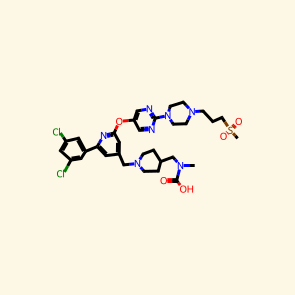 CN(CC1CCN(Cc2cc(Oc3cnc(N4CCN(CCCS(C)(=O)=O)CC4)nc3)nc(-c3cc(Cl)cc(Cl)c3)c2)CC1)C(=O)O